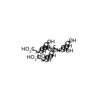 C[C@H](CCC(=O)O)[C@H]1CC[C@H]2[C@@H]3CC[C@@H]4C[C@H](O)CC[C@]4(C)[C@H]3C[C@H](O)[C@]12C.C[C@H](CCC(=O)O)[C@H]1CC[C@H]2[C@@H]3C[C@H](O)[C@@H]4C[C@H](O)CC[C@]4(C)[C@H]3CC[C@]12C.C[C@H](CCC(=O)O)[C@H]1CC[C@H]2[C@@H]3[C@H](O)C[C@@H]4C[C@H](O)CC[C@]4(C)[C@H]3CC[C@]12C